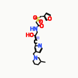 CC1CCCN(Cc2ccnc(C/C=C(\O)CNC(=O)CS(=O)(=O)Cc3ccoc3)c2)C1